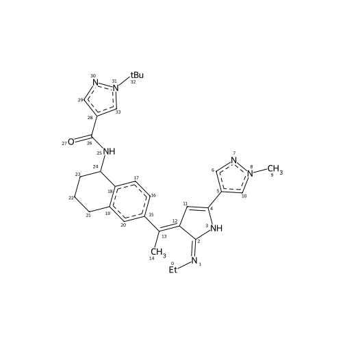 CC/N=C1/NC(c2cnn(C)c2)=C/C1=C(/C)c1ccc2c(c1)CCCC2NC(=O)c1cnn(C(C)(C)C)c1